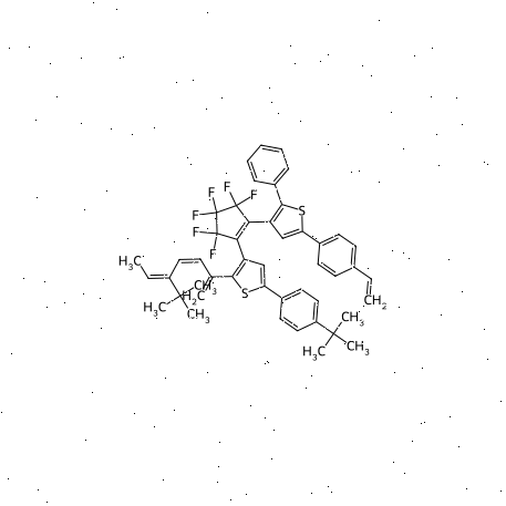 C=Cc1ccc(-c2cc(C3=C(c4cc(-c5ccc(C(C)(C)C)cc5)sc4C(=C)/C=C\C(=C/C)C(C)(C)C)C(F)(F)C(F)(F)C3(F)F)c(-c3ccccc3)s2)cc1